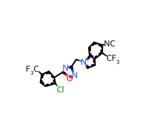 [C-]#[N+]c1ccc2c(ccn2Cc2noc(-c3cc(C(F)(F)F)ccc3Cl)n2)c1C(F)(F)F